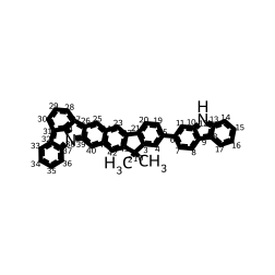 CC1(C)c2cc(-c3ccc4c(c3)[nH]c3ccccc34)ccc2-c2cc3cc4c5cccc6c7ccccc7n(c4cc3cc21)c65